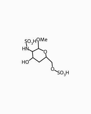 COC1OC(COS(=O)(=O)O)CC(O)C1NS(=O)(=O)O